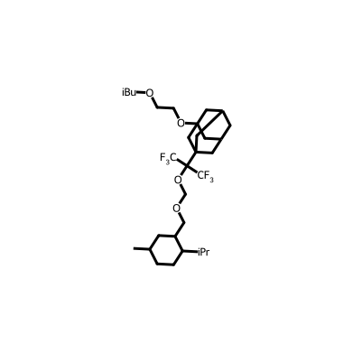 CCC(C)OCCOC12CC3CC(C1)CC(C(OCOCC1CC(C)CCC1C(C)C)(C(F)(F)F)C(F)(F)F)(C3)C2